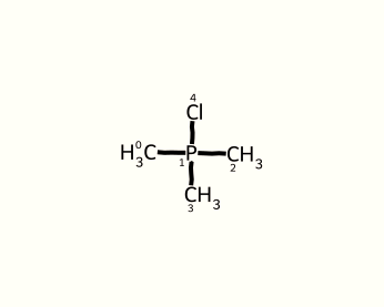 C[P](C)(C)Cl